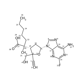 C#CC1(CO)O[C@@H](n2cnc3c(N)nc(F)nc32)C[C@H]1C(C)(CCCCC)C(=O)O